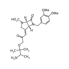 COc1ccc(CN2C(=O)[C@@H]3[C@H]2C(=CC(=O)COC(C)(C)C(C)[SiH3])CN3C(=O)O)cc1OC